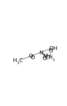 CCCCCCCCCOC(=O)CCCCCCCN(CCCCCCCC(=O)O)CCCNC(C)=O